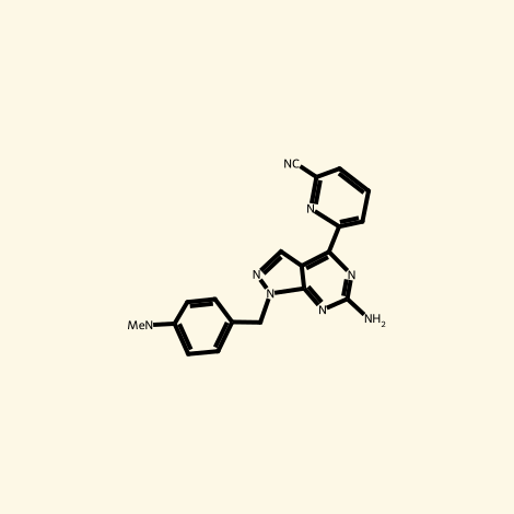 CNc1ccc(Cn2ncc3c(-c4cccc(C#N)n4)nc(N)nc32)cc1